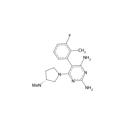 CN[C@@H]1CCN(c2nc(N)nc(N)c2-c2cccc(F)c2C)C1